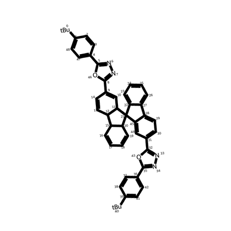 CC(C)(C)c1ccc(-c2nnc(C3=CC4C(C=C3)C3C=CC=CC3C43c4ccccc4-c4ccc(-c5nnc(-c6ccc(C(C)(C)C)cc6)o5)cc43)o2)cc1